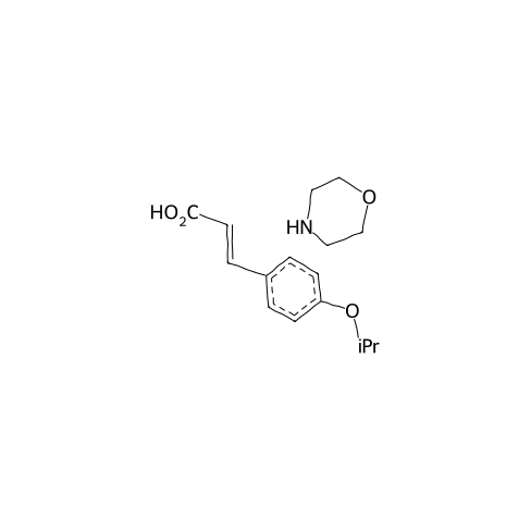 C1COCCN1.CC(C)Oc1ccc(C=CC(=O)O)cc1